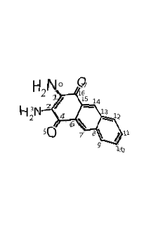 NC1=C(N)C(=O)c2cc3ccccc3cc2C1=O